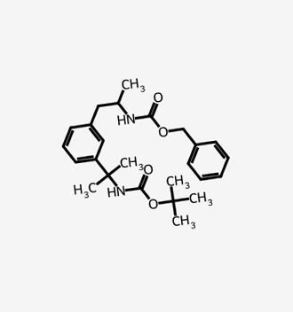 CC(Cc1cccc(C(C)(C)NC(=O)OC(C)(C)C)c1)NC(=O)OCc1ccccc1